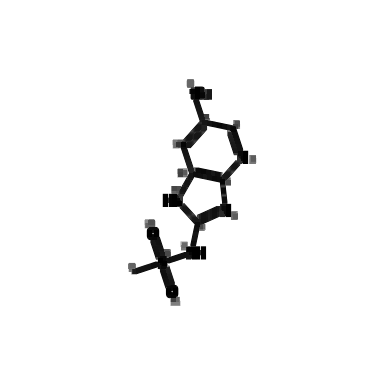 CC(C)(C)c1cnc2nc(NS(C)(=O)=O)[nH]c2c1